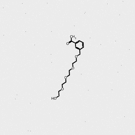 CC(=O)c1cccc(COCCOCCOCCOCCO)c1